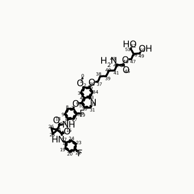 COc1cc2c(Oc3ccc(NC(=O)C4(C(=O)Nc5ccc(F)cc5)CC4)cc3F)ccnc2cc1OCCCCCC(N)C(=O)OCC(CO)CO